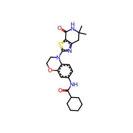 CC1(C)Cc2nc(N3CCOc4cc(NC(=O)C5CCCCC5)ccc43)sc2C(=O)N1